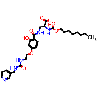 CCCCCCCCOC(=O)N[C@@H](CNC(=O)c1ccc(OCCNC(=O)NCc2cccnc2)cc1O)C(=O)O